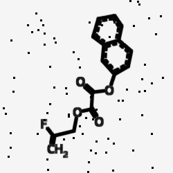 C=C(F)COC(=O)C(=O)Oc1ccc2ccccc2c1